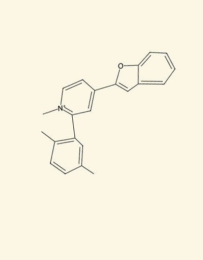 Cc1ccc(C)c(-c2cc(-c3cc4ccccc4o3)cc[n+]2C)c1